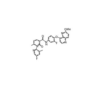 COc1ccc2nccc(Oc3ccc(NC(=O)c4ccc(C)n(-c5ncc(F)cc5C)c4=O)cc3F)c2n1